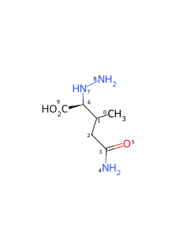 CC(CC(N)=O)[C@H](NN)C(=O)O